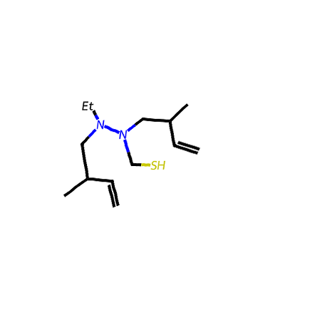 C=CC(C)CN(CC)N(CS)CC(C)C=C